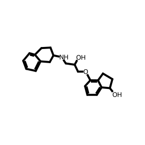 OC(CNC1CCc2ccccc2C1)COc1cccc2c1CCC2O